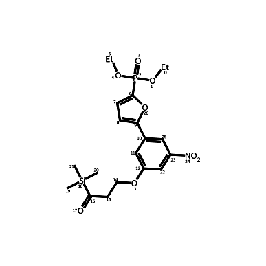 CCOP(=O)(OCC)c1ccc(-c2cc(OCCC(=O)[Si](C)(C)C)cc([N+](=O)[O-])c2)o1